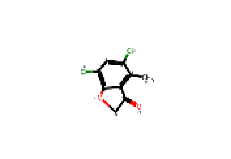 Cc1c(Cl)cc(Cl)c2c1C(=O)CO2